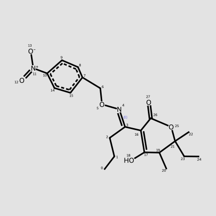 CCC/C(=N\OCc1ccc([N+](=O)[O-])cc1)C1=C(O)C(C)C(C)(CC)OC1=O